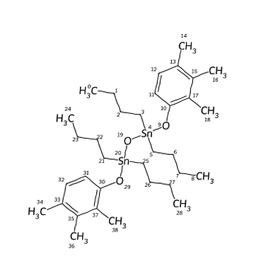 CCC[CH2][Sn]([CH2]CCC)([O]c1ccc(C)c(C)c1C)[O][Sn]([CH2]CCC)([CH2]CCC)[O]c1ccc(C)c(C)c1C